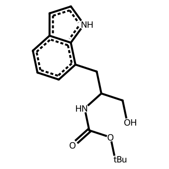 CC(C)(C)OC(=O)NC(CO)Cc1cccc2cc[nH]c12